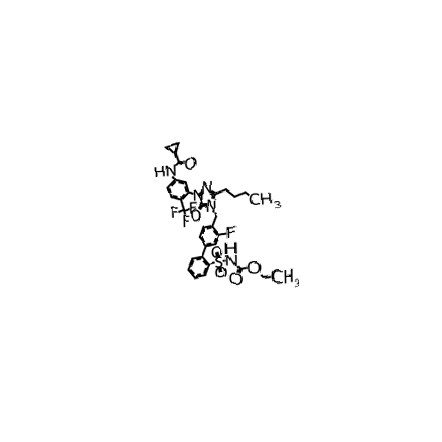 CCCCc1nn(-c2cc(NC(=O)C3CC3)ccc2C(F)(F)F)c(=O)n1Cc1ccc(-c2ccccc2S(=O)(=O)NC(=O)OCC)cc1F